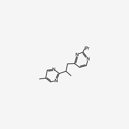 Cc1cnc(C(C)Cc2ccnc(C(C)C)n2)nc1